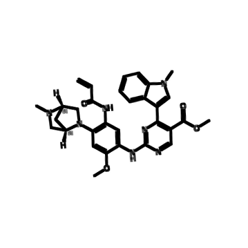 C=CC(=O)Nc1cc(Nc2ncc(C(=O)OC)c(-c3cn(C)c4ccccc34)n2)c(OC)cc1N1C[C@@H]2C[C@H]1CN2C